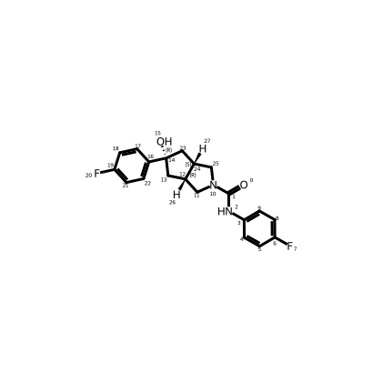 O=C(Nc1ccc(F)cc1)N1C[C@@H]2C[C@@](O)(c3ccc(F)cc3)C[C@@H]2C1